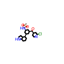 CS(=O)(=O)Nc1cc(C(=O)c2ccnc(Cl)c2)cc(-c2cccc3[nH]ccc23)c1